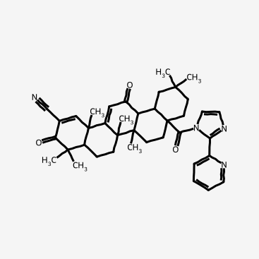 CC1(C)CCC2(C(=O)n3ccnc3-c3ccccn3)CCC3(C)C(C(=O)C=C4C5(C)C=C(C#N)C(=O)C(C)(C)C5CCC43C)C2C1